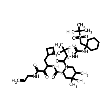 C=CCNC(=O)C(=O)C(CC1CCC1)NC(=O)[C@@H]1CC(C)(C)C(C)CN1C(=O)[C@@H](NC(=O)NC1(CS(=O)(=O)C(C)(C)C)CCCCC1)C(C)(C)C